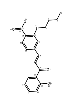 CCCCOc1cc(/C=C/C(=O)c2ccccc2O)ccc1[N+](=O)[O-]